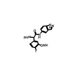 CNC(C(=O)Nc1ccc2[nH]ncc2c1)c1ccc(F)c(OC)c1